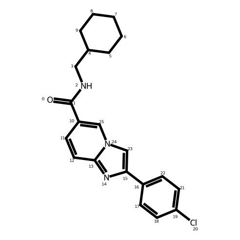 O=C(NCC1CCCCC1)c1ccc2nc(-c3ccc(Cl)cc3)cn2c1